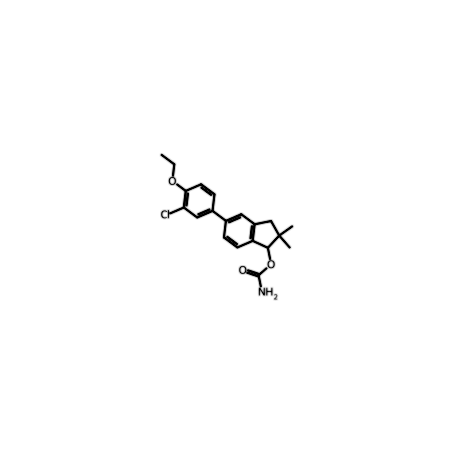 CCOc1ccc(-c2ccc3c(c2)CC(C)(C)C3OC(N)=O)cc1Cl